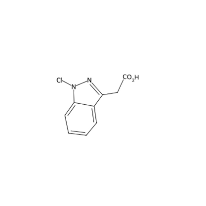 O=C(O)Cc1nn(Cl)c2ccccc12